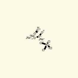 C=O.[Cl][Au-]([Cl])([Cl])[Cl].[Na+].[Na+].[Na+].[O-]S[O-]